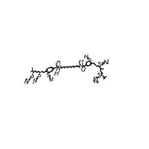 CC(C)C(CCCC(CCC1CCC(C(=O)NCCCCCCCCCCCCNC(=O)C2CCC(CCC(SCCN(C)C)C(C)CCC(SCCN(C)C)C(C)C)C(SCCN(C)C)C2)CC1SCCN(C)C)SCCN(C)C)SCCN(C)C